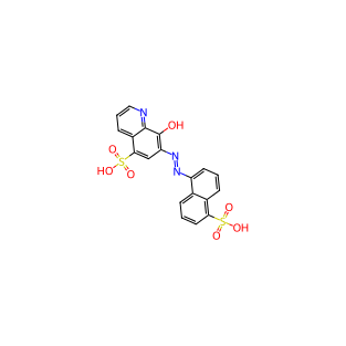 O=S(=O)(O)c1cccc2c(N=Nc3cc(S(=O)(=O)O)c4cccnc4c3O)cccc12